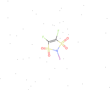 O=S1(=O)C(F)=C(F)S(=O)(=O)N1I